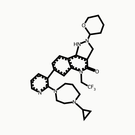 O=c1c2c(c3ccc(-c4cccnc4N4CCCN(C5CC5)CC4)cc3n1CC(F)(F)F)NN(C1CCCCO1)C2